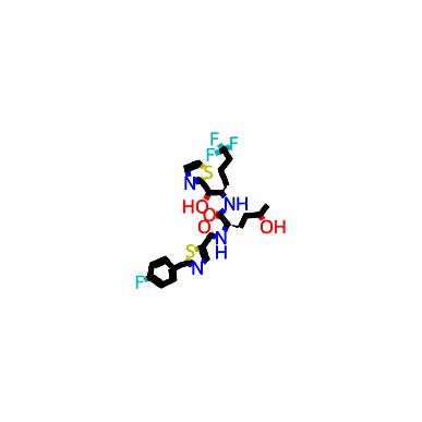 CC(O)CC[C@H](NC(=O)c1cnc(-c2ccc(F)cc2)s1)C(=O)N[C@@H](CCCC(F)(F)F)C(O)c1nccs1